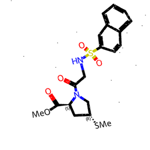 COC(=O)[C@@H]1C[C@@H](SC)CN1C(=O)CNS(=O)(=O)c1ccc2ccccc2c1